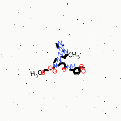 COCCOC(=O)N1CCN(c2cc(C)nc(-n3ccnc3)n2)C(CC(=O)NCc2ccc3c(c2)OCO3)C1